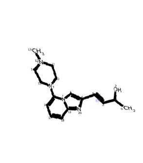 CC(O)/C=C/c1cn2c(N3CCN(C)CC3)cccc2n1